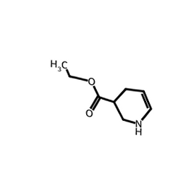 CCOC(=O)C1CC=CNC1